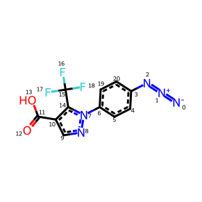 [N-]=[N+]=Nc1ccc(-n2ncc(C(=O)O)c2C(F)(F)F)cc1